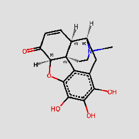 CN1CC[C@]23c4c5c(O)c(O)c(O)c4O[C@H]2C(=O)C=C[C@H]3[C@H]1C5